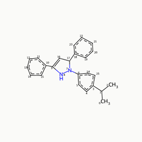 CC(C)c1ccc(N2NC(c3ccccc3)=CC2c2ccccc2)cc1